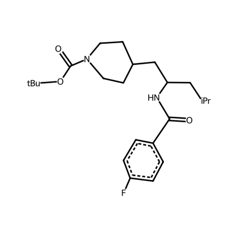 CC(C)CC(CC1CCN(C(=O)OC(C)(C)C)CC1)NC(=O)c1ccc(F)cc1